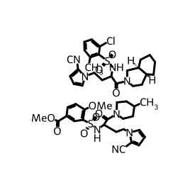 COC(=O)c1ccc(OC)c(S(=O)(=O)NC(CCn2cccc2C#N)C(=O)N2CCC(C)CC2)c1.Cc1cccc(Cl)c1S(=O)(=O)NC(CCn1cccc1C#N)C(=O)N1CC[C@H]2CCCC[C@@H]2C1